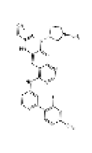 C=CC(=O)Nc1cc2c(Nc3ccnc(-c4ccc(C)cc4F)c3)ncnc2cc1O[C@@H]1CCN(C)C1